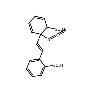 O=S(=O)(O)c1ccccc1C=CC1(N=C=S)C=CC=CC1S(=O)(=O)O